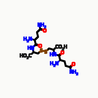 NC(=O)CC[C@H](N)C(=O)N[C@@H](CSSC[C@H](NC(=O)[C@@H](N)CCC(N)=O)C(=O)O)C(=O)O